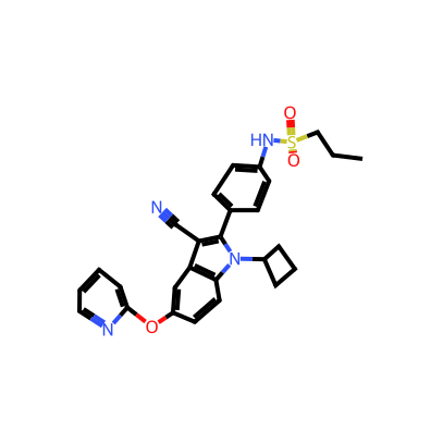 CCCS(=O)(=O)Nc1ccc(-c2c(C#N)c3cc(Oc4ccccn4)ccc3n2C2CCC2)cc1